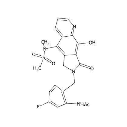 CC(=O)Nc1cc(F)ccc1CN1Cc2c(c(O)c3ncccc3c2N(C)S(C)(=O)=O)C1=O